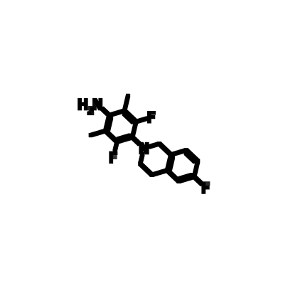 Cc1c(N)c(C)c(F)c(N2CCc3cc(F)ccc3C2)c1F